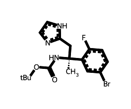 CC(C)(C)OC(=O)N[C@@](C)(Cc1ncc[nH]1)c1cc(Br)ccc1F